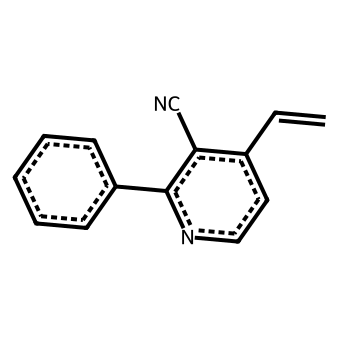 C=Cc1ccnc(-c2ccccc2)c1C#N